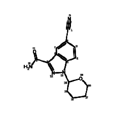 N#Cc1ccc2c(c1)c(C(N)=O)nn2C1CCCCO1